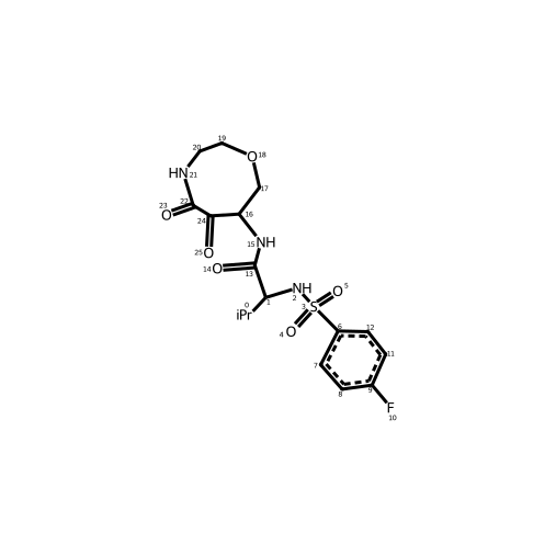 CC(C)C(NS(=O)(=O)c1ccc(F)cc1)C(=O)NC1COCCNC(=O)C1=O